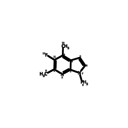 Cc1nc2c(ccn2P)c(C)c1F